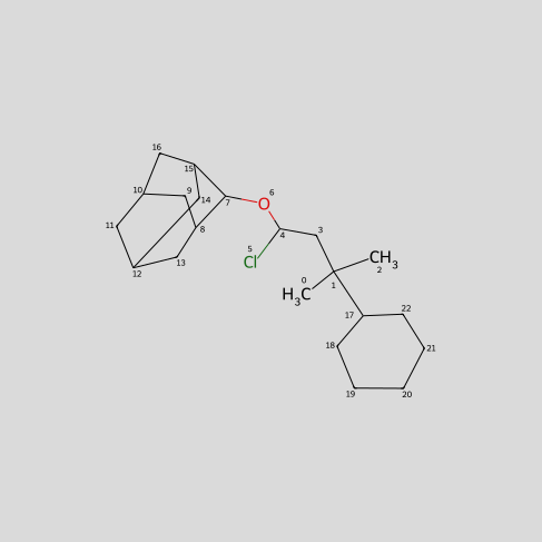 CC(C)(CC(Cl)OC1C2CC3CC(C2)CC1C3)C1CCCCC1